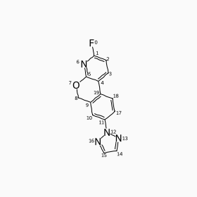 Fc1ccc2c(n1)OCc1cc(-n3nccn3)ccc1-2